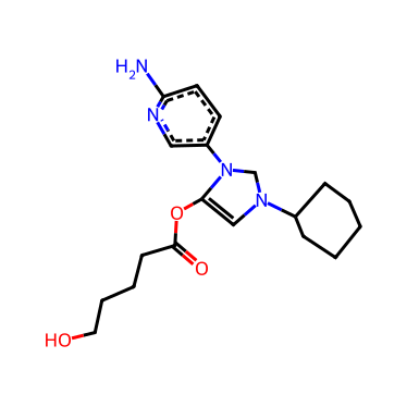 Nc1ccc(N2CN(C3CCCCC3)C=C2OC(=O)CCCCO)cn1